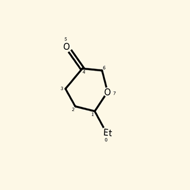 CCC1CCC(=O)CO1